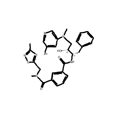 Cc1noc(CN(C)C(=O)c2cccc(C(=O)N[C@@H](Cc3ccccc3)[C@H](O)CN(C)c3cncc(C(C)C)c3)c2)n1